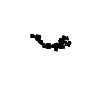 CC(=O)OCc1cc([C@@H](O)CNCCc2ccc(OCCOCc3cccc(C#N)c3)cc2)ccc1O